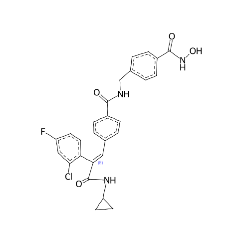 O=C(NC1CC1)/C(=C/c1ccc(C(=O)NCc2ccc(C(=O)NO)cc2)cc1)c1ccc(F)cc1Cl